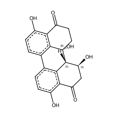 O=C1C[C@H](O)[C@@H]2c3c(ccc(O)c31)-c1ccc(O)c3c1[C@@]2(O)CCC3=O